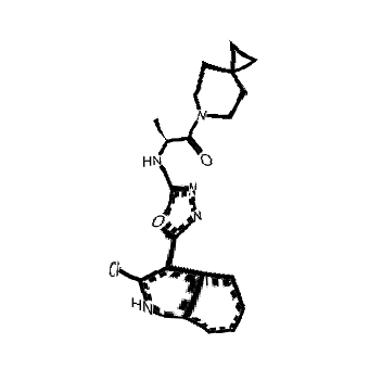 C[C@H](Nc1nnc(-c2c(Cl)[nH]c3ccccc23)o1)C(=O)N1CCC2(CC1)CC2